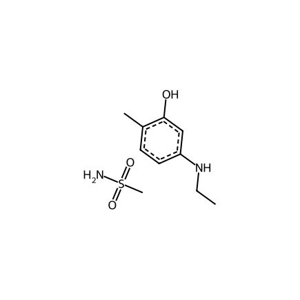 CCNc1ccc(C)c(O)c1.CS(N)(=O)=O